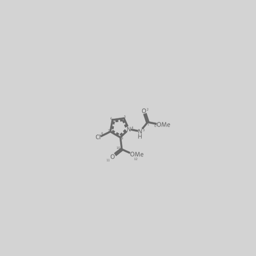 COC(=O)Nn1ccc(Cl)c1C(=O)OC